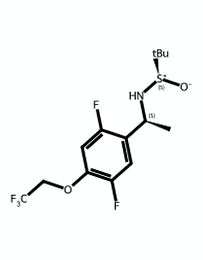 C[C@H](N[S@+]([O-])C(C)(C)C)c1cc(F)c(OCC(F)(F)F)cc1F